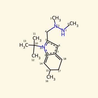 CNN(C)Cc1cc2c(n1C(C)(C)C)=CC(C)CC=2